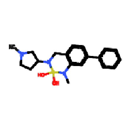 CN1c2cc(-c3ccccc3)ccc2CN(C2CCN(C#N)C2)S1(O)O